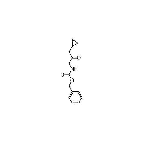 O=C(CNC(=O)OCc1ccccc1)CC1CC1